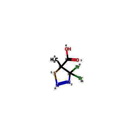 CC1(C(=O)O)SN=NC1(Br)Br